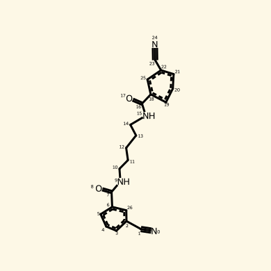 N#Cc1cccc(C(=O)NCCCCCNC(=O)c2cccc(C#N)c2)c1